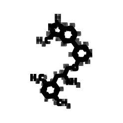 Cc1ccc(C)c(C[C@H](N)COc2cncc(-c3ccc4[nH]nc(C)c4c3)c2)c1